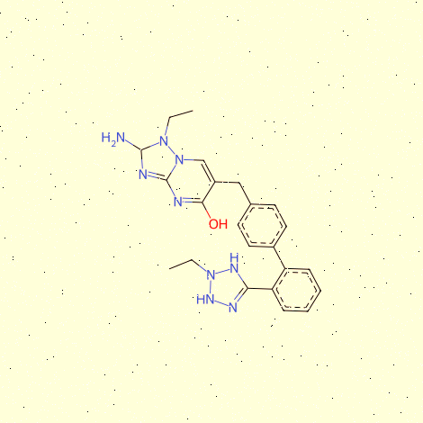 CCN1NN=C(c2ccccc2-c2ccc(CC3=CN4C(=NC(N)N4CC)N=C3O)cc2)N1